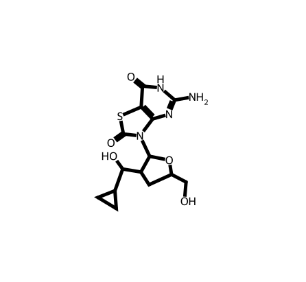 Nc1nc2c(sc(=O)n2C2OC(CO)CC2C(O)C2CC2)c(=O)[nH]1